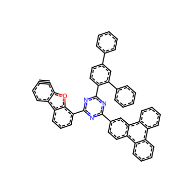 c1ccc2c(c#1)oc1c(-c3nc(-c4ccc5c6ccccc6c6ccccc6c5c4)nc(-c4ccc(-c5ccccc5)cc4-c4ccccc4)n3)cccc12